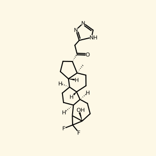 C[C@]12CC[C@@H]3[C@H]4CC[C@@]5(O)C([C@H]4CC[C@H]3[C@@H]1CC[C@@H]2C(=O)Cc1nnc[nH]1)C5(F)F